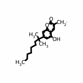 [CH2]c1cc2c(O)cc(C(C)(C)CCCCCCC)cc2oc1=O